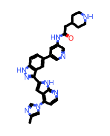 Cc1cn(-c2ccnc3[nH]c(-c4n[nH]c5ccc(-c6cncc(NC(=O)CC7CCNCC7)c6)cc45)cc23)cn1